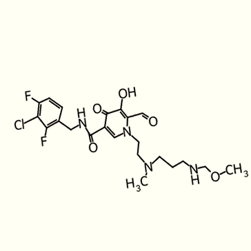 COCNCCCN(C)CCn1cc(C(=O)NCc2ccc(F)c(Cl)c2F)c(=O)c(O)c1C=O